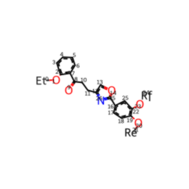 CCOc1ccccc1C(=O)CCc1coc(-c2ccc([O][Re])c([O][Rf])c2)n1